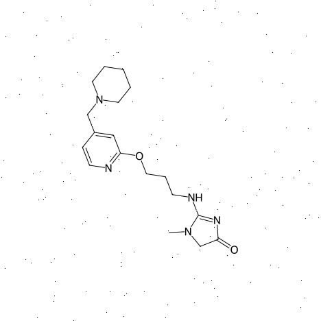 CN1CC(=O)N=C1NCCCOc1cc(CN2CCCCC2)ccn1